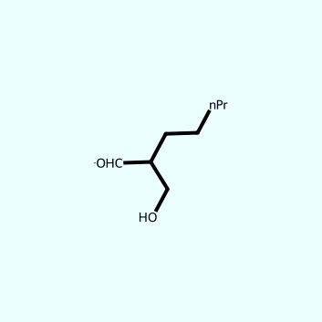 CCCCCC([C]=O)CO